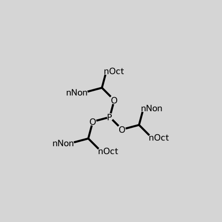 CCCCCCCCCC(CCCCCCCC)OP(OC(CCCCCCCC)CCCCCCCCC)OC(CCCCCCCC)CCCCCCCCC